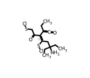 CCC(=C=O)/C(C(=O)CSCl)=C(\CC(N)(CC)CC)SCl